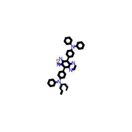 C=C/C=C(\C=C/C)N(c1ccccc1)c1ccc(-c2c3nccnc3c(-c3ccc(N(c4ccccc4)c4ccccc4)cc3)c3nsnc23)cc1